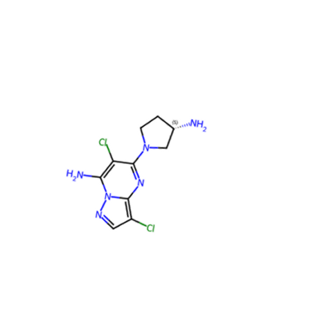 Nc1c(Cl)c(N2CC[C@H](N)C2)nc2c(Cl)cnn12